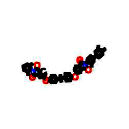 Cc1ccc(-c2ccc(N3C(=O)c4ccc(Oc5ccc(C(C)(C)c6ccc(Oc7ccc8c(c7)C(=O)N(c7c(C)cccc7C)C8=O)cc6)cc5)cc4C3=O)c(C)c2)cc1C